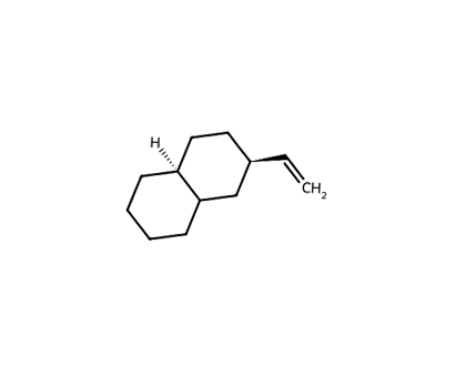 C=C[C@@H]1CC[C@@H]2CCCCC2C1